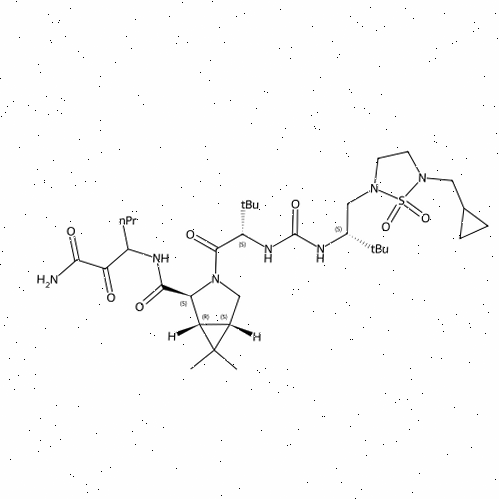 CCCC(NC(=O)[C@@H]1[C@@H]2[C@H](CN1C(=O)[C@@H](NC(=O)N[C@H](CN1CCN(CC3CC3)S1(=O)=O)C(C)(C)C)C(C)(C)C)C2(C)C)C(=O)C(N)=O